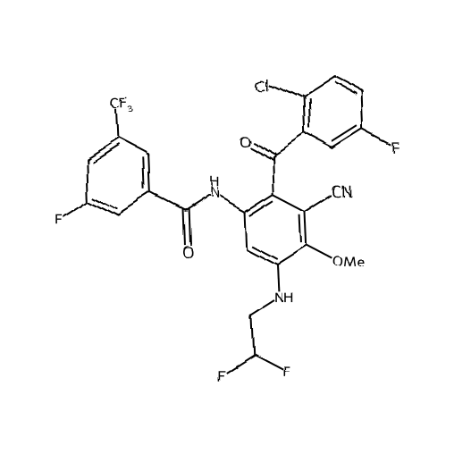 COc1c(NCC(F)F)cc(NC(=O)c2cc(F)cc(C(F)(F)F)c2)c(C(=O)c2cc(F)ccc2Cl)c1C#N